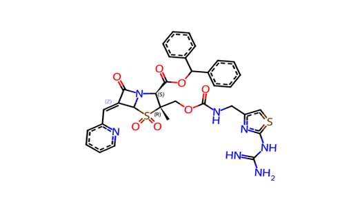 C[C@]1(COC(=O)NCc2csc(NC(=N)N)n2)[C@H](C(=O)OC(c2ccccc2)c2ccccc2)N2C(=O)/C(=C/c3ccccn3)C2S1(=O)=O